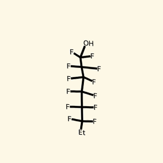 CCC(F)(F)C(F)(F)C(F)(F)C(F)(F)C(F)(F)C(O)(F)F